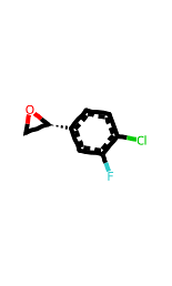 Fc1cc([C@@H]2CO2)ccc1Cl